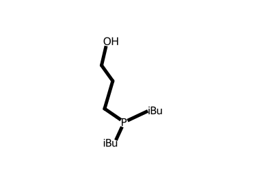 CCC(C)P(CCCO)C(C)CC